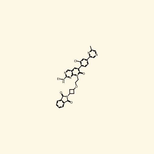 CCNc1ncc2cc(-c3ccc(-c4cncc(C)n4)cc3Cl)c(=O)n(CCOC3CC(N4C(=O)c5ccccc5C4=O)C3)c2n1